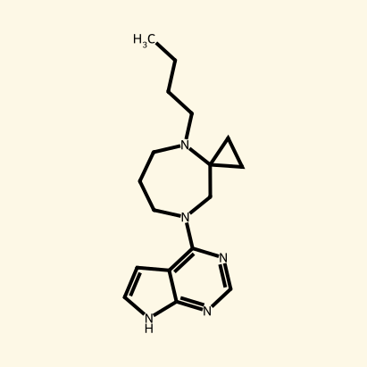 CCCCN1CCCN(c2ncnc3[nH]ccc23)CC12CC2